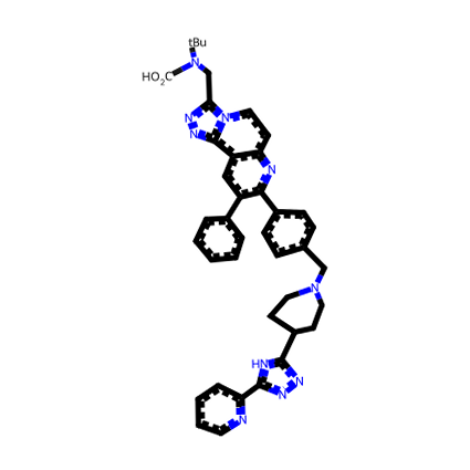 CC(C)(C)N(Cc1nnc2c3cc(-c4ccccc4)c(-c4ccc(CN5CCC(c6nnc(-c7ccccn7)[nH]6)CC5)cc4)nc3ccn12)C(=O)O